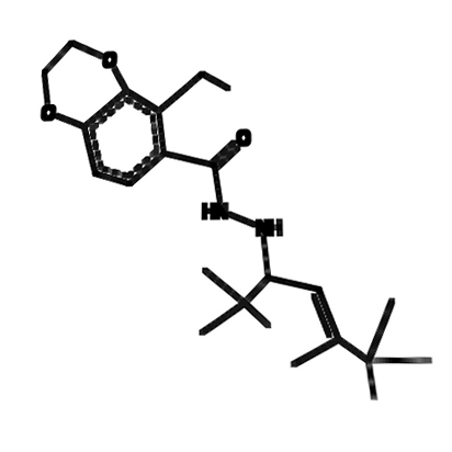 CCc1c(C(=O)NNC(/C=C(\C)C(C)(C)C)C(C)(C)C)ccc2c1OCCO2